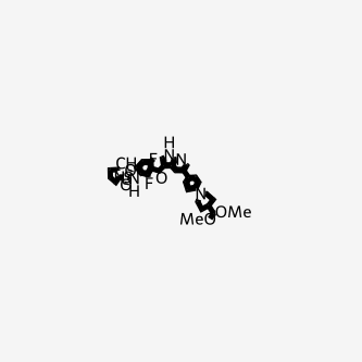 COC(OC)C1CCN(c2ccc(-c3cnc4[nH]cc(C(=O)c5c(F)ccc(NS(=O)(=O)N6CCC[C@@H]6C)c5F)c4c3)cc2)CC1